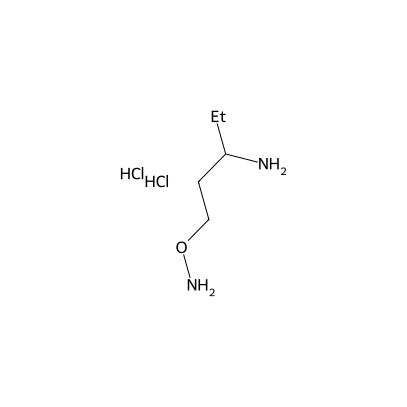 CCC(N)CCON.Cl.Cl